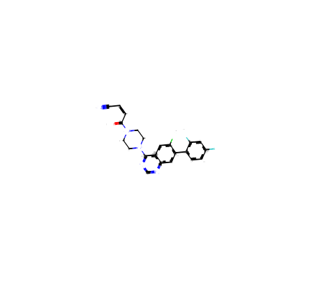 N#C/C=C\C(=O)N1CCN(c2ncnc3cc(-c4ccc(F)cc4F)c(Cl)cc23)CC1